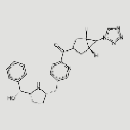 O=C(c1ccc(C[C@@H]2CC[C@H]([C@H](O)c3ccccc3)N2)cn1)C1C[C@@H]2C(n3cnnn3)[C@@H]2C1